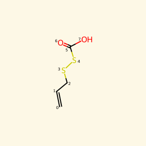 C=CCSSC(=O)O